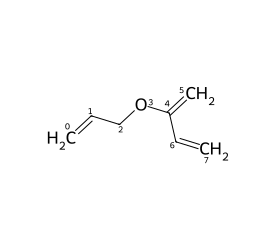 C=CCOC(=C)C=C